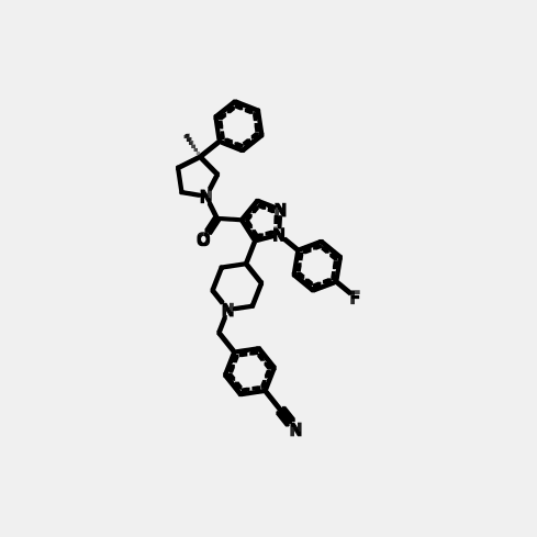 C[C@@]1(c2ccccc2)CCN(C(=O)c2cnn(-c3ccc(F)cc3)c2C2CCN(Cc3ccc(C#N)cc3)CC2)C1